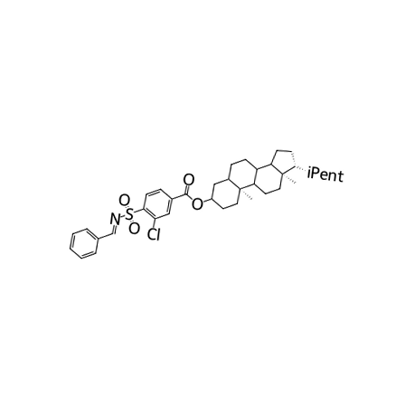 CCC[C@@H](C)[C@H]1CCC2C3CCC4CC(OC(=O)c5ccc(S(=O)(=O)N=Cc6ccccc6)c(Cl)c5)CC[C@]4(C)C3CC[C@@]21C